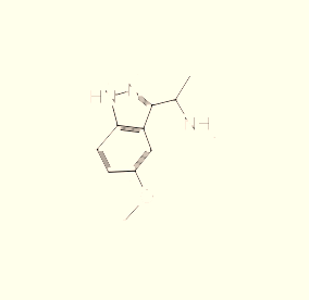 COc1ccc2[nH]nc(C(C)N)c2c1